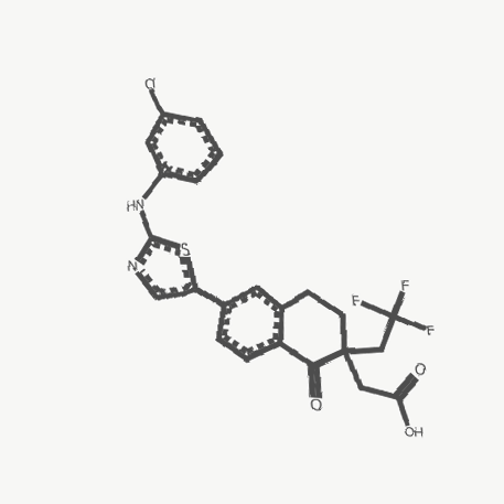 O=C(O)CC1(CC(F)(F)F)CCc2cc(-c3cnc(Nc4cccc(Cl)c4)s3)ccc2C1=O